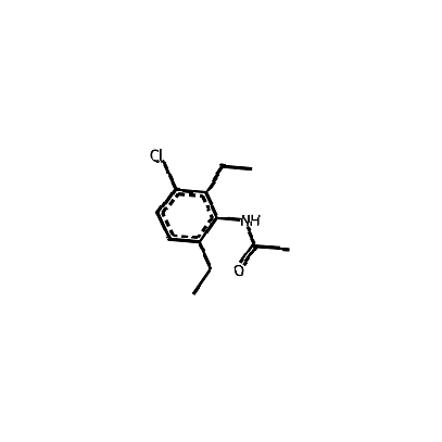 CCc1ccc(Cl)c(CC)c1NC(C)=O